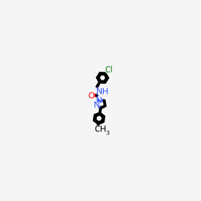 Cc1ccc(C2=NN(C(=O)NCc3ccc(Cl)cc3)CC2)cc1